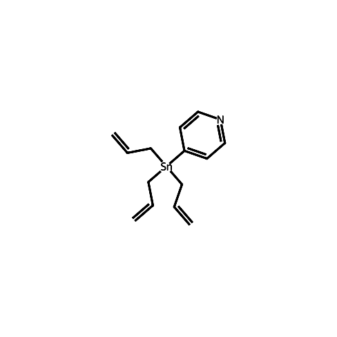 C=C[CH2][Sn]([CH2]C=C)([CH2]C=C)[c]1ccncc1